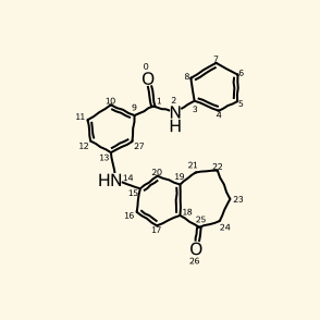 O=C(Nc1ccccc1)c1cccc(Nc2ccc3c(c2)CCCCC3=O)c1